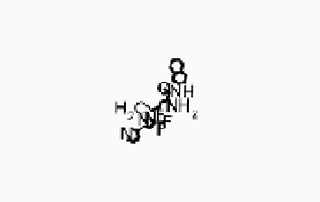 C=C/C(=C\C=C(/N)C(=O)Nc1ccc2ccccc2c1)n1nc(-c2cccnc2)cc1C(F)(F)F